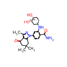 Cc1nn(-c2ccc(C(N)=O)c(NC3CC[C@@H](O)[C@@H](O)C3)c2)c2c1C(=O)CC(C)(C)C2